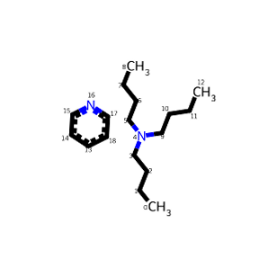 CCCCN(CCCC)CCCC.c1ccncc1